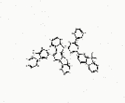 CC1(C)c2ccccc2-c2ccc(-c3nc(-c4ccccc4)nc(-n4c5ccccc5c5c(-c6ccc7oc8ccccc8c7c6)cc6c7ccccc7oc6c54)n3)cc21